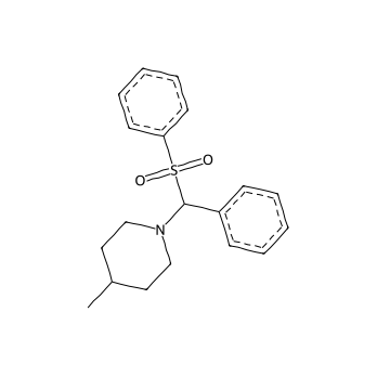 CC1CCN(C(c2ccccc2)S(=O)(=O)c2ccccc2)CC1